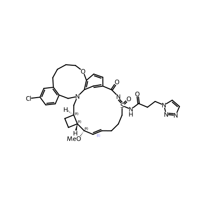 CO[C@H]1/C=C/CCCS(=O)(NC(=O)CCn2ccnn2)=NC(=O)c2ccc3c(c2)N(Cc2ccc(Cl)cc2CCCCO3)C[C@@H]2CC[C@H]21